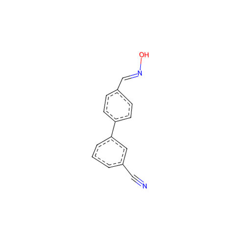 N#Cc1cccc(-c2ccc(C=NO)cc2)c1